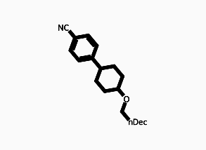 CCCCCCCCCCCOC1CCC(c2ccc(C#N)cc2)CC1